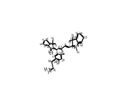 CCN1/C(=C/C=C(/C=C/C2=[N+](C)c3ccccc3C2(C)C)Sc2ccc(CCN)cc2)C(C)(C)c2ccccc21